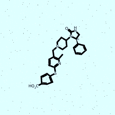 Cc1nc(Sc2ccc(C(=O)O)cc2)ccc1CN1CCC(N2C(=O)NC[C@H]2c2ccccc2)CC1